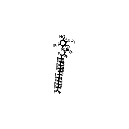 CC(C)c1cc([N+](=O)[O-])c([N+](=O)[O-])c(OC(=O)OC(F)C(F)C(F)(F)C(F)(F)C(F)(F)C(F)(F)C(F)(F)C(F)(F)C(F)(F)C(F)(F)C(F)(F)C(F)(F)C(F)F)c1[N+](=O)[O-]